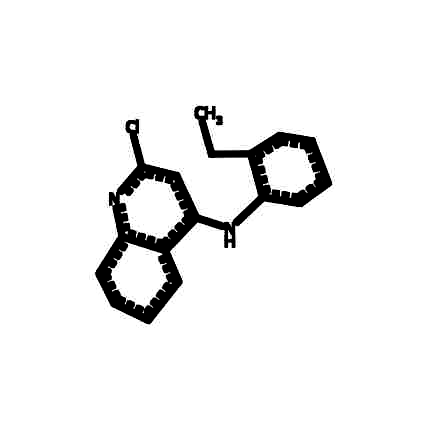 CCc1ccccc1Nc1cc(Cl)nc2ccccc12